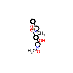 CC(=O)N1CCC(O)(c2ccc(CN3[C@@H](C)CC[C@H](c4ccccc4)S3(=O)=O)cc2)CC1